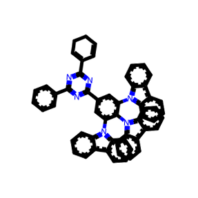 C1=CC(c2nc(-c3ccccc3)nc(-c3cc(-n4c5ccccc5c5ccccc54)c(-n4c5ccccc5c5ccccc54)c(-n4c5ccccc5c5ccccc54)c3)n2)=CCC1